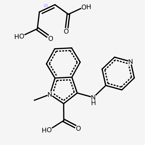 Cn1c(C(=O)O)c(Nc2ccncc2)c2ccccc21.O=C(O)/C=C\C(=O)O